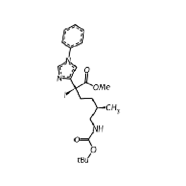 COC(=O)[C@](I)(CC[C@@H](C)CNC(=O)OC(C)(C)C)c1cn(-c2ccccc2)cn1